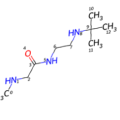 CNCC(=O)NCCNC(C)(C)C